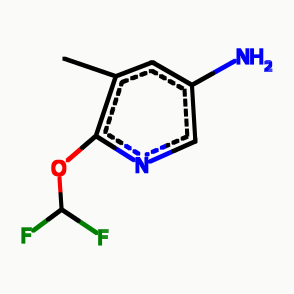 Cc1cc(N)cnc1OC(F)F